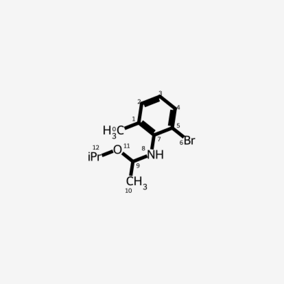 Cc1cccc(Br)c1NC(C)OC(C)C